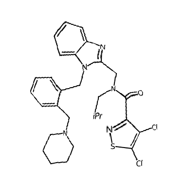 CC(C)CN(Cc1nc2ccccc2n1Cc1ccccc1CN1CCCCC1)C(=O)c1nsc(Cl)c1Cl